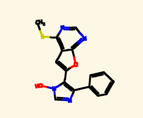 CSc1ncnc2oc(-c3c(-c4ccccc4)ncn3O)cc12